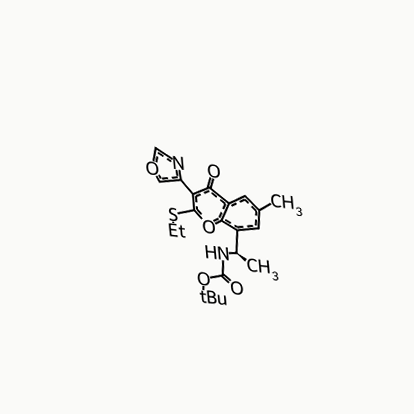 CCSc1oc2c([C@@H](C)NC(=O)OC(C)(C)C)cc(C)cc2c(=O)c1-c1cocn1